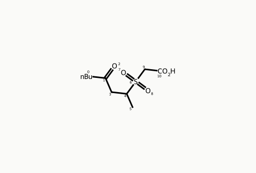 CCCCC(=O)CC(C)S(=O)(=O)CC(=O)O